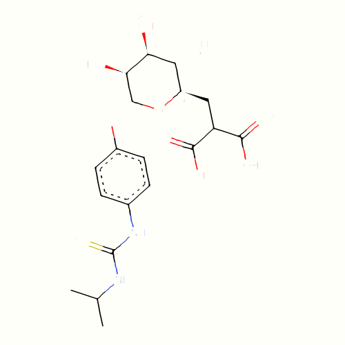 CC(C)NC(=S)Nc1ccc(O[C@H]2O[C@H](CC(C(=O)O)C(=O)O)[C@@H](O)[C@H](O)[C@@H]2O)cc1